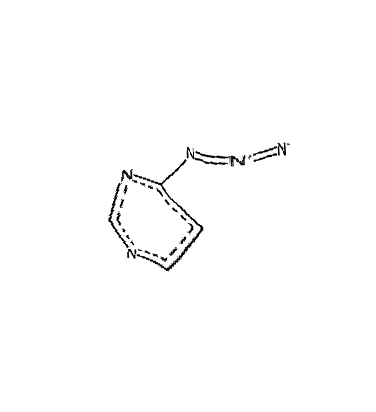 [N-]=[N+]=Nc1ccncn1